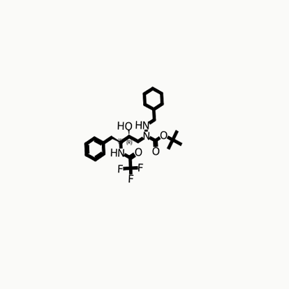 CC(C)(C)OC(=O)N(C[C@@H](O)[C@H](Cc1ccccc1)NC(=O)C(F)(F)F)NCC1CCCCC1